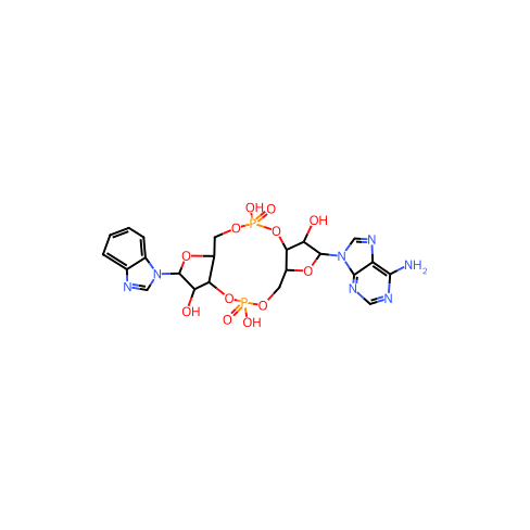 Nc1ncnc2c1ncn2C1OC2COP(=O)(O)OC3C(COP(=O)(O)OC2C1O)OC(n1cnc2ccccc21)C3O